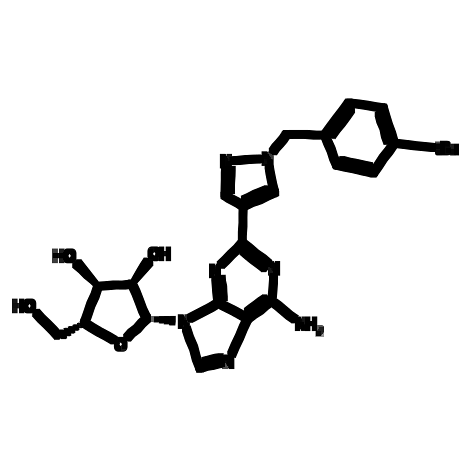 CC(C)(C)c1ccc(Cn2cc(-c3nc(N)c4ncn([C@@H]5O[C@H](CO)[C@@H](O)[C@H]5O)c4n3)cn2)cc1